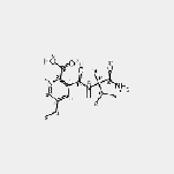 CCc1cnc(C(=O)O)c(C(=O)NC(C)(C(N)=O)C(C)C)c1